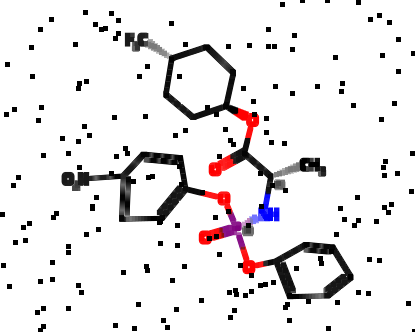 C[C@H](N[P@@](=O)(Oc1ccccc1)Oc1ccc([N+](=O)[O-])cc1)C(=O)O[C@H]1CC[C@H](C(F)(F)F)CC1